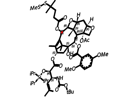 COc1ccc(OC)c(C(=O)O[C@H]2[C@@H]3[C@]4(OC(C)=O)CO[C@@H]4C[C@H]4O[C@@H]([C@H](OC(=O)CCC(C)(C)SSC)C5=C(C)[C@@H](OC(=O)[C@H](O[Si](C(C)C)(C(C)C)C(C)C)[C@H](C=C(C)C)NC(=O)OC(C)(C)C)C[C@]2(O)C5(C)C)[C@@]34C)c1